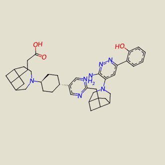 Nc1nnc(-c2ccccc2O)cc1N1CC2CC3(Cc4ncc([C@H]5CC[C@H](N6CCC7CC8C(C6)CC78CCC(=O)O)CC5)cn4)C(CC23)C1